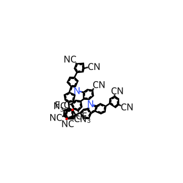 N#Cc1cc(C#N)cc(-c2ccc3c4ccc(-c5cc(C#N)cc(C#N)c5)cc4n(-c4cc(C#N)cc(-n5c6cc(-c7cc(C#N)cc(C#N)c7)ccc6c6ccc(-c7cc(C#N)cc(C#N)c7)cc65)c4-c4cc(C(F)(F)F)cc(C(F)(F)F)c4)c3c2)c1